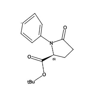 CC(C)(C)OC(=O)[C@@H]1CCC(=O)N1c1cc[c]cc1